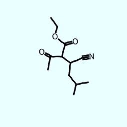 CCOC(=O)C(C(C)=O)C(C#N)CC(C)C